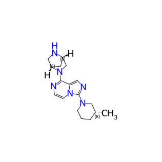 C[C@@H]1CCCN(c2ncc3c(N4C[C@@H]5C[C@H]4CN5)nccn23)C1